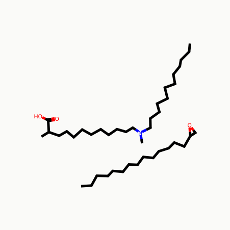 CCCCCCCCCCCCCCC1CO1.CCCCCCCCCCCCN(C)CCCCCCCCCCC(C)C(=O)O